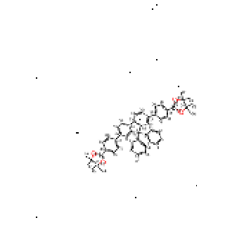 Cc1ccc(C2(c3ccccc3)c3cc(-c4ccc(B5OC(C)(C)C(C)(C)O5)cc4)ccc3-c3ccc(-c4ccc(B5OC(C)(C)C(C)(C)O5)cc4)cc32)cc1